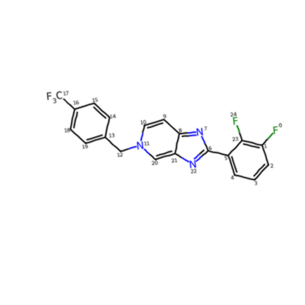 Fc1cccc(-c2nc3ccn(Cc4ccc(C(F)(F)F)cc4)cc-3n2)c1F